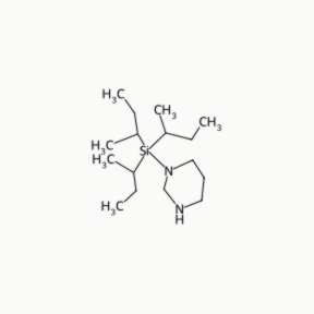 CCC(C)[Si](C(C)CC)(C(C)CC)N1CCCNC1